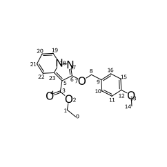 CCOC(=O)c1c(OCc2ccc(OC)cc2)nn2ccccc12